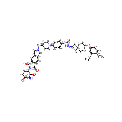 Cc1cc(OC2CCC3(CC2)CC(NC(=O)c2ccc(N4CCC(CN5Cc6cc7c(cc6C5)C(=O)N(C5CCC(=O)NC5=O)C7=O)CC4)cc2)C3)ccc1C#N